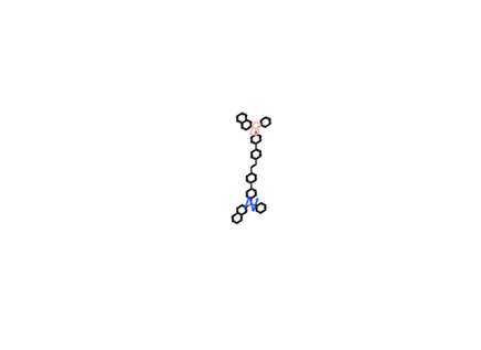 C(=C\c1ccc(-c2ccc(N(c3ccccc3)c3ccc4ccccc4c3)cc2)cc1)/c1ccc(-c2ccc(B(c3ccccc3)c3ccc4ccccc4c3)cc2)cc1